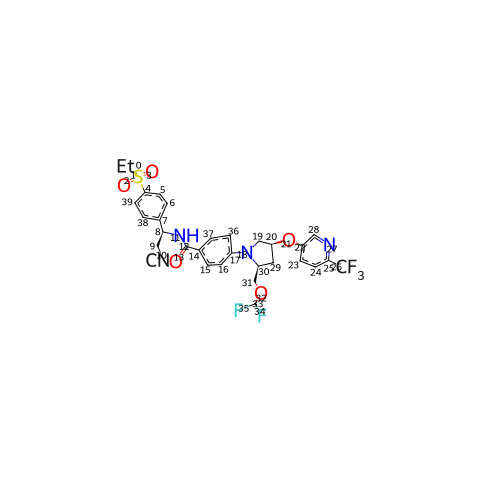 CCS(=O)(=O)c1ccc([C@H](CC#N)NC(=O)c2ccc(N3C[C@@H](Oc4ccc(C(F)(F)F)nc4)C[C@H]3COC(F)F)cc2)cc1